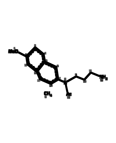 C.COc1ccc2cc(N(CCCN)C(C)=O)ccc2c1